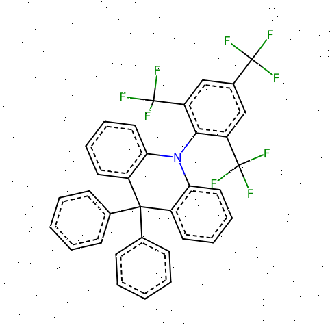 FC(F)(F)c1cc(C(F)(F)F)c(N2c3ccccc3C(c3ccccc3)(c3ccccc3)c3ccccc32)c(C(F)(F)F)c1